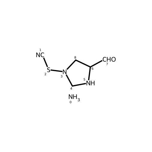 N.N#CSN1CNC(C=O)C1